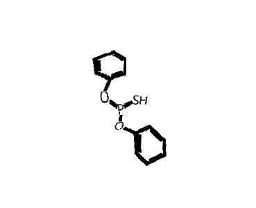 SP(Oc1ccccc1)Oc1ccccc1